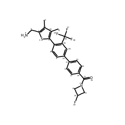 Cc1c(CN)sc(-c2ccc(-c3ccc(C(=O)N4CC(F)C4)cc3)cc2C(F)(F)F)c1C